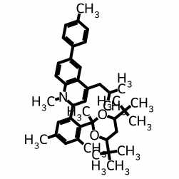 Cc1ccc(-c2ccc3c(c2)C(CC(C)C)=CC(c2cc(C)cc(C)c2C2(C)OC(C(C)(C)C)CC(C(C)(C)C)O2)N3C)cc1